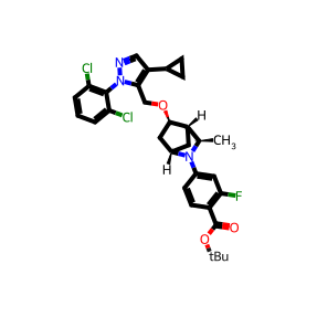 C[C@@H]1[C@@H]2C[C@@H](C[C@H]2OCc2c(C3CC3)cnn2-c2c(Cl)cccc2Cl)N1c1ccc(C(=O)OC(C)(C)C)c(F)c1